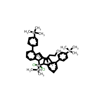 CCCC(C)C1=Cc2c(-c3ccc([Si](C)(C)C)cc3)cccc2[CH]1[Zr]([Cl])([Cl])([CH]1C(C)=Cc2c(-c3ccc([Si](C)(C)C)cc3)cccc21)[SiH](C)C